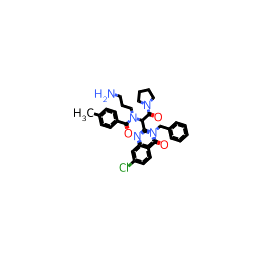 Cc1ccc(C(=O)N(CCCN)C(C(=O)N2CCCC2)c2nc3cc(Cl)ccc3c(=O)n2Cc2ccccc2)cc1